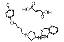 Clc1ccc(OCCCCN2CCC(NC3=Nc4ccccc4CS3)CC2)cc1.O=C(O)C=CC(=O)O